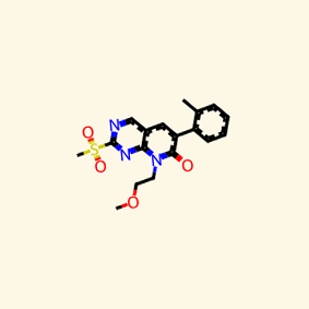 COCCn1c(=O)c(-c2ccccc2C)cc2cnc(S(C)(=O)=O)nc21